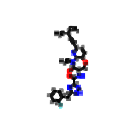 CC(C)C#Cc1ccc2c(n1)N(C)C(=O)[C@@H](NC(=O)c1n[nH]c(Cc3ccccc3F)n1)CO2